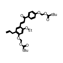 C=CCc1cc(/C=C/C(=O)c2ccc(OCOC(=O)C(C)(C)C)cc2)c(OCC)cc1OCOC(=O)C(C)(C)C